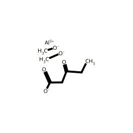 CCC(=O)CC(=O)[O-].C[O-].C[O-].[Al+3]